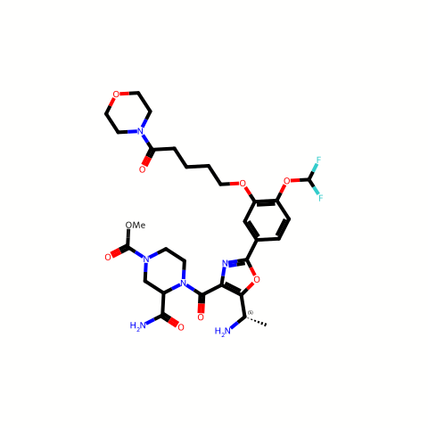 COC(=O)N1CCN(C(=O)c2nc(-c3ccc(OC(F)F)c(OCCCCC(=O)N4CCOCC4)c3)oc2[C@H](C)N)C(C(N)=O)C1